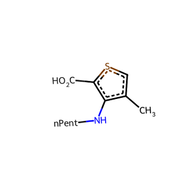 CCCCCNc1c(C)csc1C(=O)O